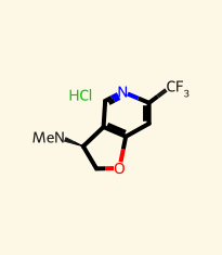 CN[C@@H]1COc2cc(C(F)(F)F)ncc21.Cl